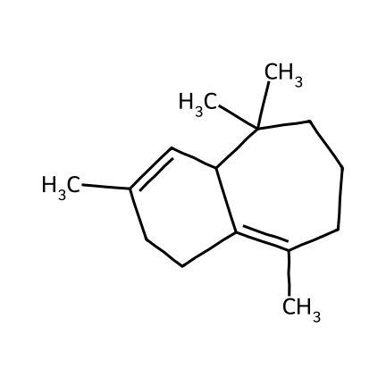 CC1=CC2C(=C(C)CCCC2(C)C)CC1